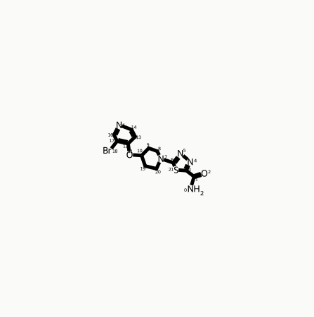 NC(=O)c1nnc(N2CCC(Oc3ccncc3Br)CC2)s1